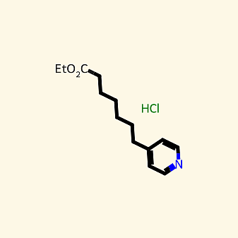 CCOC(=O)CCCCCCc1ccncc1.Cl